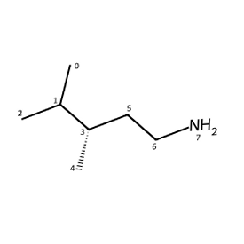 CC(C)[C@@H](C)CCN